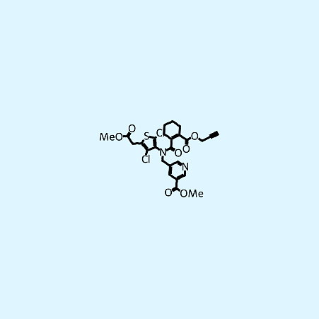 C#CCOC(=O)C1=C(C(=O)N(Cc2cncc(C(=O)OC)c2)c2c(Cl)sc(CC(=O)OC)c2Cl)CCCC1